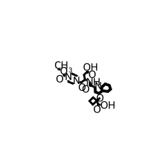 CCOC(=O)N1CCN(C(=O)C(CC(=O)O)NC(=O)c2cc(OC3(C(=O)O)CCC3)c3ccccc3n2)CC1